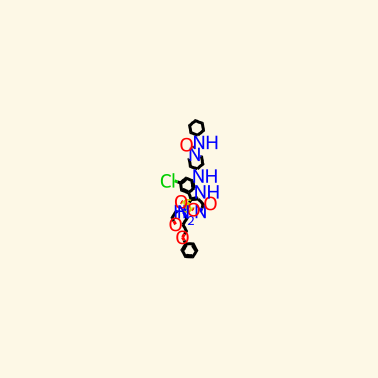 NC(=O)c1[nH]c2c(NC3CCN(C(=O)NC4CCCCC4)CC3)cc(Cl)cc2c1S(=O)(=O)N1CCOC(COc2ccccc2)C1